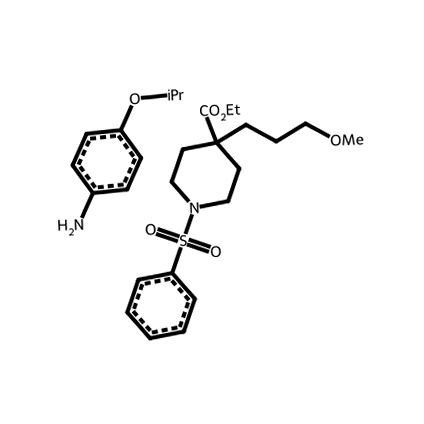 CC(C)Oc1ccc(N)cc1.CCOC(=O)C1(CCCOC)CCN(S(=O)(=O)c2ccccc2)CC1